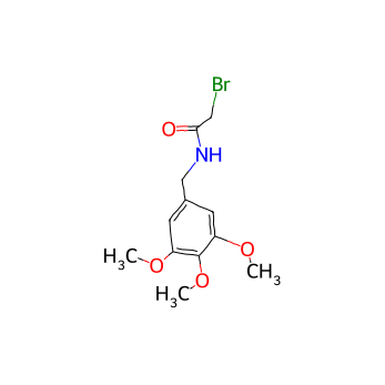 COc1cc(CNC(=O)CBr)cc(OC)c1OC